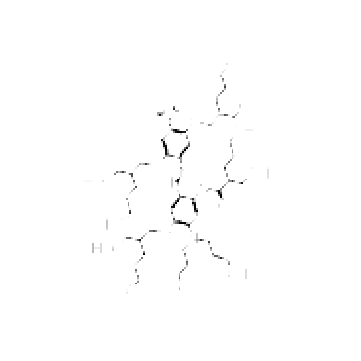 CCCCC(CC)COc1cc([N+](=O)[O-])c(OCC(CC)CCCC)cc1N=Nc1cc(OCC(CC)CCCC)c(N(CCCC)CCCC)cc1NC(=O)C(CC)CCCC